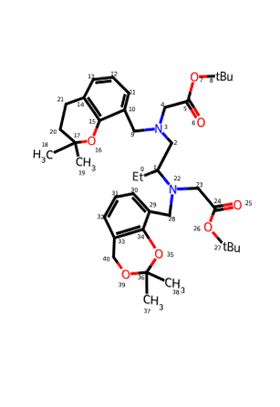 CCC(CN(CC(=O)OC(C)(C)C)Cc1cccc2c1OC(C)(C)CC2)N(CC(=O)OC(C)(C)C)Cc1cccc2c1OC(C)(C)OC2